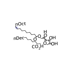 CCCCCCCC/C=C\CCCCCCCC(=O)OC[C@@H](O)[C@H]1OC[C@H](O)[C@H]1O.CCCCCCCCCCCCCCCCCC(=O)O